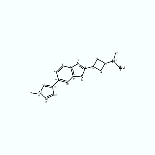 CCC(C)N(C)C1CC(c2nc3ccc(-c4cnn(C)c4)cc3s2)C1